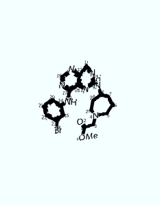 COC(=O)CN1CCCC(Nc2ncc3ncnc(Nc4cccc(Br)c4)c3n2)CC1